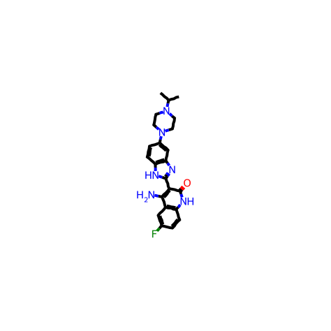 CC(C)N1CCN(c2ccc3[nH]c(-c4c(N)c5cc(F)ccc5[nH]c4=O)nc3c2)CC1